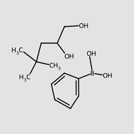 CC(C)(C)CC(O)CO.OB(O)c1ccccc1